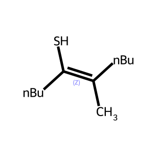 CCCC/C(C)=C(\S)CCCC